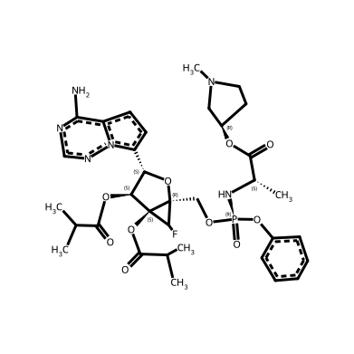 CC(C)C(=O)O[C@H]1[C@H](c2ccc3c(N)ncnn23)O[C@@]2(CO[P@](=O)(N[C@@H](C)C(=O)O[C@@H]3CCN(C)C3)Oc3ccccc3)C(F)[C@]12OC(=O)C(C)C